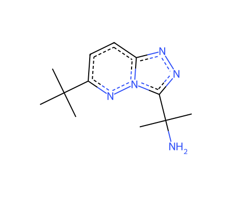 CC(C)(C)c1ccc2nnc(C(C)(C)N)n2n1